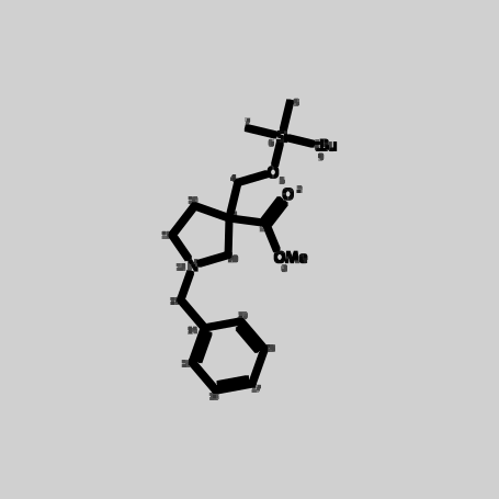 COC(=O)C1(CO[Si](C)(C)C(C)(C)C)CCN(Cc2ccccc2)C1